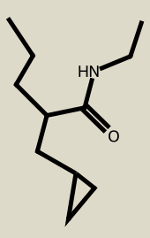 CCCC(CC1CC1)C(=O)NCC